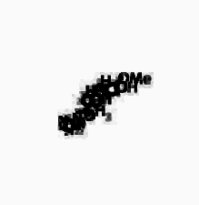 COC[C@@]1(O)CC[C@H]2[C@@H](CC[C@@H]3[C@@H]2CC[C@]2(C)[C@@H](C(=O)Cn4ncc5ccncc54)CC[C@@H]32)C1